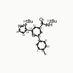 Cc1ccc(-c2cc(C(=O)NC(C)(C)C)cc(-c3ccnn3C(C)(C)C)n2)cc1